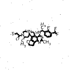 Cc1nc(N[C@H](C)c2cccc(C(F)F)c2F)c2c3c(c4c(c2n1)CCO4)[C@]1(CCN(C(=O)CF)[C@H](C)C1)NC3